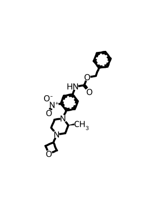 C[C@H]1CN(C2COC2)CCN1c1ccc(NC(=O)OCc2ccccc2)cc1[N+](=O)[O-]